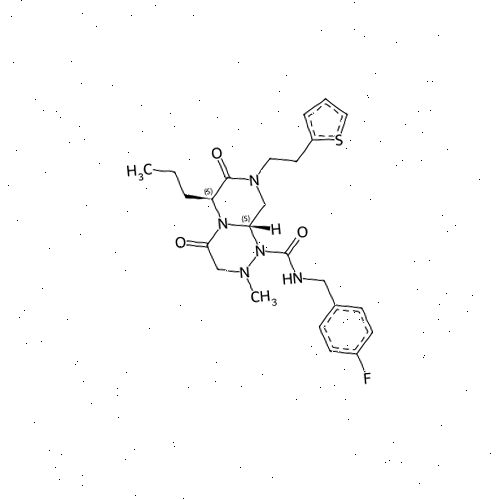 CCC[C@H]1C(=O)N(CCc2cccs2)C[C@H]2N1C(=O)CN(C)N2C(=O)NCc1ccc(F)cc1